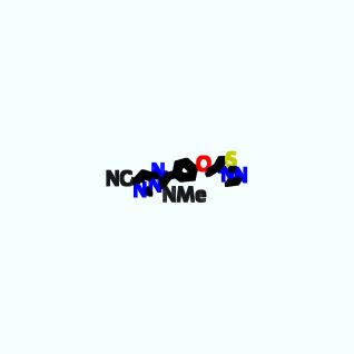 CNc1c(-c2ccc(OCC3=CSC4=NCCN34)cc2)nc2cc(C#N)ncn12